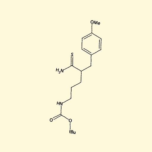 COc1ccc(CC(CCCNC(=O)OC(C)(C)C)C(N)=S)cc1